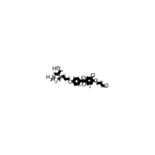 CC(C)(c1ccc(OCCCN(N)/C(=C\N)CO)cc1)c1ccc(OCCCCl)c(Cl)c1